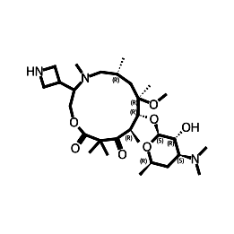 CO[C@]1(C)C[C@@H](C)CN(C)C(C2CNC2)COC(=O)C(C)(C)C(=O)[C@H](C)[C@H]1O[C@@H]1O[C@H](C)C[C@H](N(C)C)[C@H]1O